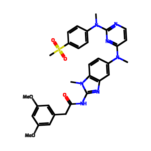 COc1cc(CC(=O)Nc2nc3cc(N(C)c4ccnc(N(C)c5ccc(S(C)(=O)=O)cc5)n4)ccc3n2C)cc(OC)c1